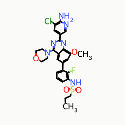 CCCS(=O)(=O)Nc1cccc(-c2cc(OC)c3nc(-c4cnc(N)c(Cl)c4)nc(N4CCOCC4)c3c2)c1F